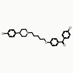 O=C(c1ccc(Cl)cc1)c1ccc(OCCCCCN2CCC(c3ccc(Cl)cc3)CC2)cc1